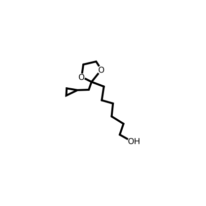 OCCCCCCC1(CC2CC2)OCCO1